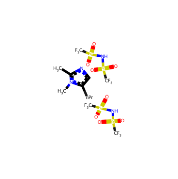 CCCc1cnc(C)n1C.O=S(=O)(NS(=O)(=O)C(F)(F)F)C(F)(F)F.O=S(=O)(NS(=O)(=O)C(F)(F)F)C(F)(F)F